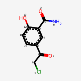 NC(=O)c1cc(C(=O)CCl)ccc1O